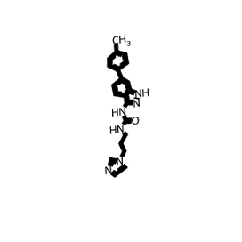 Cc1ccc(-c2ccc3c(NC(=O)NCCCn4ccnc4)n[nH]c3c2)cc1